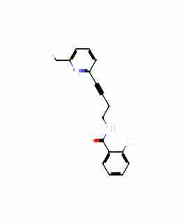 O=C(NCCC#Cc1cccc(CF)n1)c1ccccc1Cl